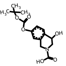 CC(C)(C)OC(=O)Oc1ccc2c(c1)CN(C(=O)O)CC2O